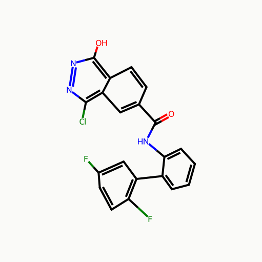 O=C(Nc1ccccc1-c1cc(F)ccc1F)c1ccc2c(O)nnc(Cl)c2c1